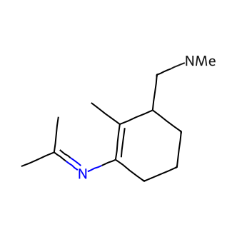 CNCC1CCCC(N=C(C)C)=C1C